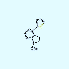 CC(=O)OC1CCc2c(-c3cccs3)cccc21